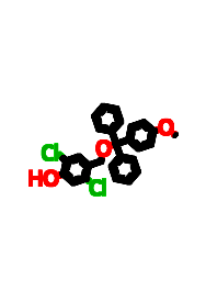 COc1ccc(C(OCc2cc(Cl)c(O)cc2Cl)(c2ccccc2)c2ccccc2)cc1